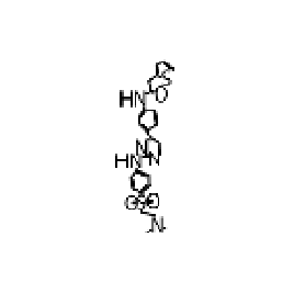 CN(C)CCS(=O)(=O)c1ccc(Nc2nccc(-c3ccc(NC(=O)Cc4cccs4)cc3)n2)cc1